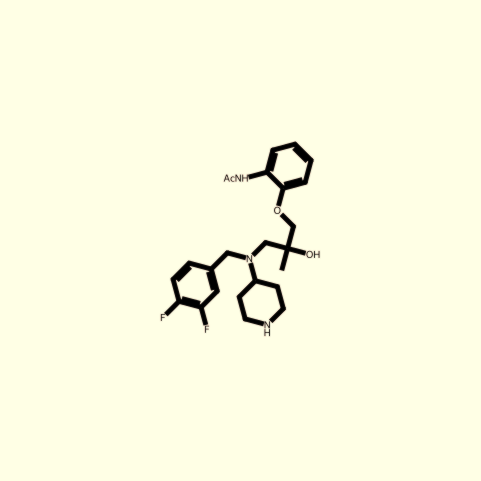 CC(=O)Nc1ccccc1OCC(C)(O)CN(Cc1ccc(F)c(F)c1)C1CCNCC1